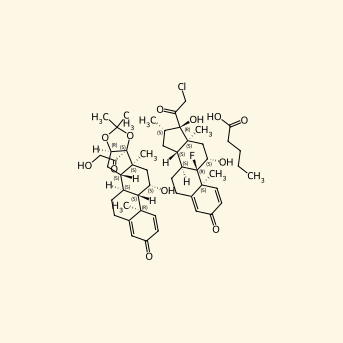 CC1(C)O[C@@H]2C[C@H]3[C@@H]4CCC5=CC(=O)C=C[C@]5(C)[C@H]4[C@@H](O)C[C@]3(C)[C@]2(C(=O)CO)O1.CCCCC(=O)O.C[C@H]1C[C@H]2[C@@H]3CCC4=CC(=O)C=C[C@]4(C)[C@@]3(F)[C@@H](O)C[C@]2(C)[C@@]1(O)C(=O)CCl